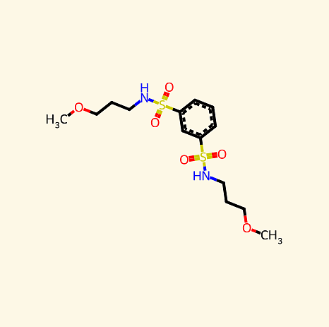 COCCCNS(=O)(=O)c1cccc(S(=O)(=O)NCCCOC)c1